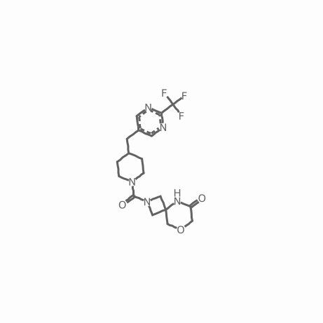 O=C1COCC2(CN(C(=O)N3CCC(Cc4cnc(C(F)(F)F)nc4)CC3)C2)N1